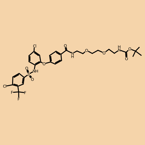 CC(C)(C)OC(=O)NCCOCCOCCNC(=O)c1ccc(Oc2cc(Cl)ccc2NS(=O)(=O)c2ccc(Cl)c(C(F)(F)F)c2)cc1